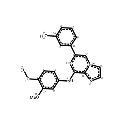 CCOc1ccc(Nc2nc(-c3cccc(C)c3)cn3ccnc23)cc1OC